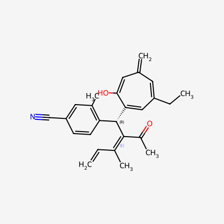 C=C/C(C)=C(/C(C)=O)[C@@H](C1=CC(CC)=CC(=C)C=C1O)c1ccc(C#N)cc1C